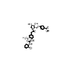 COc1cc(CC(=O)N2C[C@H](O)[C@H](O)[C@H]2COc2ccc(C(=O)O)cc2)ccc1NC(=O)Nc1ccccc1Cl